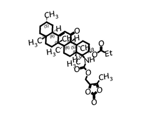 CCC(=O)O[C@H]1CC[C@@]2(C)[C@@H](CC[C@]3(C)[C@@H]2C(=O)C=C2[C@@H]4C[C@@H](C)CC[C@@]4(C)CC[C@]23C)[C@]1(C)NC(=O)OCc1oc(=O)oc1C